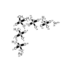 CS(=O)(=O)[O-].CS(=O)(=O)[O-].CS(=O)(=O)[O-].CS(=O)(=O)[O-].CS(=O)(=O)[O-].[Ag+].[Sn+4]